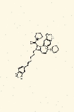 O=C(/C=C\C1[C@@H](CCCC/C=C/c2ccc3c(c2)OCO3)C(C(=O)N2CCCCC2)[C@H]1c1ccc2c(c1)OCO2)N1CCCCC1